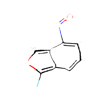 O=Nc1cccc2c(F)occ12